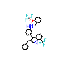 FC(F)(F)Oc1ccccc1CNc1cccc(-c2c(Cc3ccccc3)cnc3c(C(F)(F)F)cccc23)c1